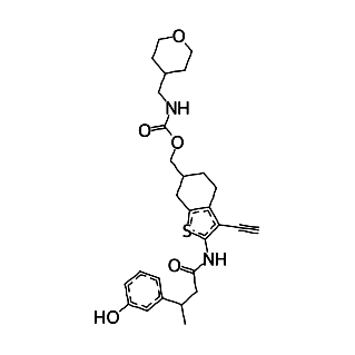 C#Cc1c(NC(=O)CC(C)c2cccc(O)c2)sc2c1CCC(COC(=O)NCC1CCOCC1)C2